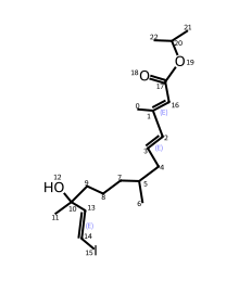 CC(/C=C/CC(C)CCCC(C)(O)/C=C/I)=C\C(=O)OC(C)C